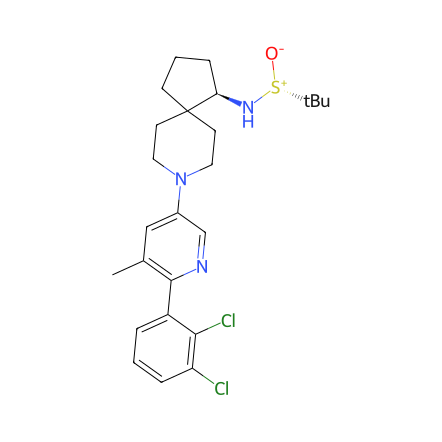 Cc1cc(N2CCC3(CCC[C@H]3N[S@+]([O-])C(C)(C)C)CC2)cnc1-c1cccc(Cl)c1Cl